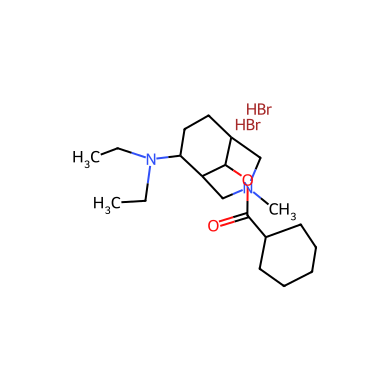 Br.Br.CCN(CC)C1CCC2CN(C)CC1C2OC(=O)C1CCCCC1